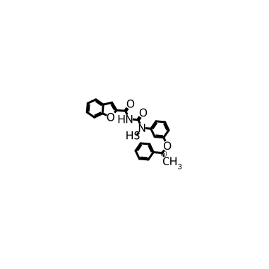 C[C@H](Oc1cccc(N(S)C(=O)NC(=O)c2cc3ccccc3o2)c1)c1ccccc1